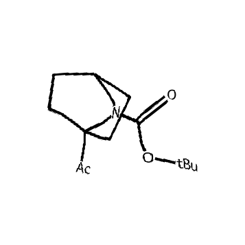 CC(=O)C12CCC(CC1)N2C(=O)OC(C)(C)C